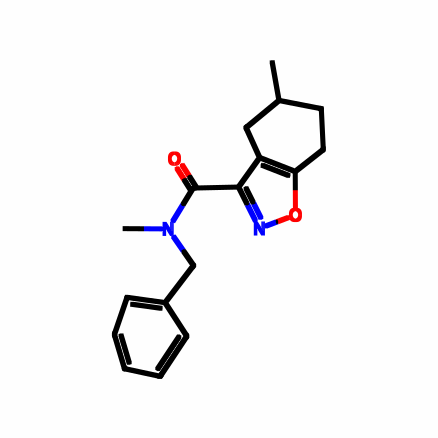 CC1CCc2onc(C(=O)N(C)Cc3ccccc3)c2C1